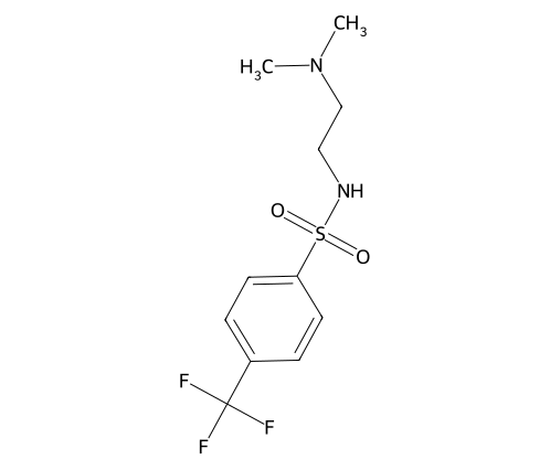 CN(C)CCNS(=O)(=O)c1ccc(C(F)(F)F)cc1